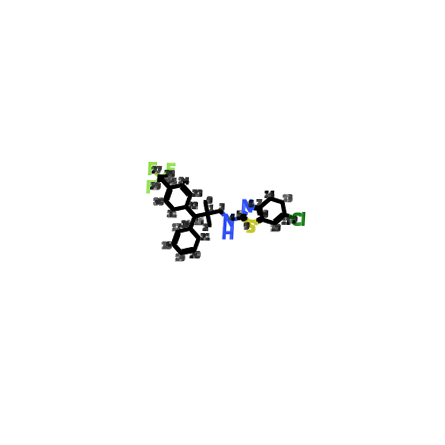 CC(C)(CNc1nc2c(s1)C=C(Cl)CC2)C(C1C=CC=CC1)C1C=CC(C(F)(F)F)=CC1